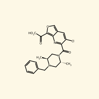 C[C@@H]1CN(Cc2ccccc2)[C@@H](C)CN1C(=O)c1nc2c(C(=O)C(=O)O)occ2cc1Cl